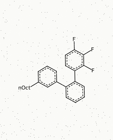 CCCCCCCCc1cccc(-c2ccccc2-c2ccc(F)c(F)c2F)c1